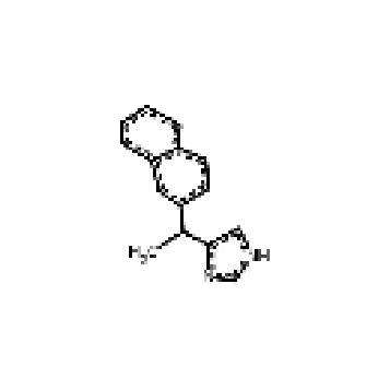 C[C](c1ccc2ccccc2c1)c1c[nH]cn1